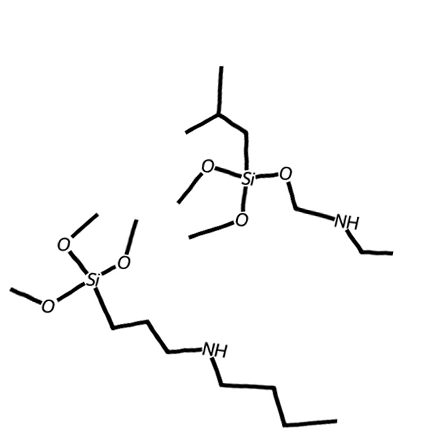 CCCCNCCC[Si](OC)(OC)OC.CCNCO[Si](CC(C)C)(OC)OC